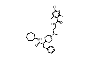 Cc1cc(Cl)nc(C)c1C(=O)NCCC(C)N1CCC(N(Cc2ccccc2)C(=O)NC2CCCCCC2)CC1